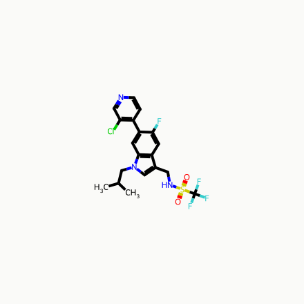 CC(C)Cn1cc(CNS(=O)(=O)C(F)(F)F)c2cc(F)c(-c3ccncc3Cl)cc21